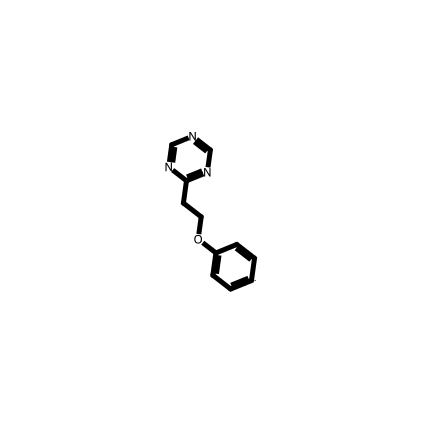 [c]1ccc(OCCc2ncncn2)cc1